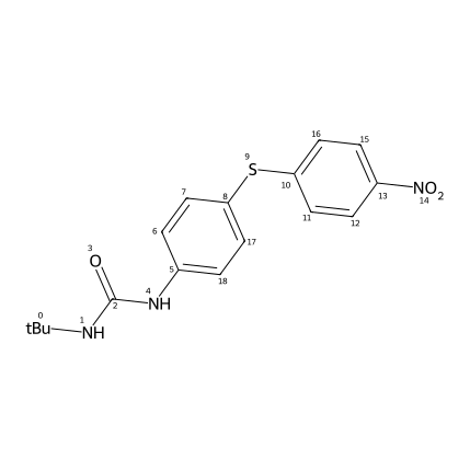 CC(C)(C)NC(=O)Nc1ccc(Sc2ccc([N+](=O)[O-])cc2)cc1